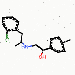 Cc1ccc([C@@H](O)CNC(C)Cc2ccccc2Cl)cc1